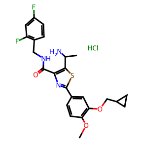 COc1ccc(-c2nc(C(=O)NCc3ccc(F)cc3F)c(C(C)N)s2)cc1OCC1CC1.Cl